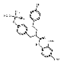 COc1ccc(NC(=O)N(CCc2ccc(Cl)cc2)Cc2ccc(OC(C)(C)C(=O)O)cc2)c(OC)c1